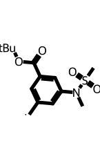 [CH2]c1cc(C(=O)OC(C)(C)C)cc(N(C)S(C)(=O)=O)c1